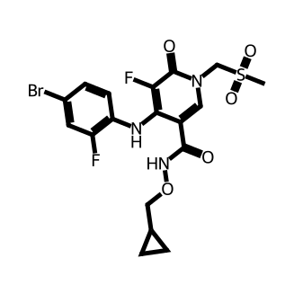 CS(=O)(=O)Cn1cc(C(=O)NOCC2CC2)c(Nc2ccc(Br)cc2F)c(F)c1=O